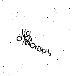 CN1CCN(c2ccc(Nc3ncc(Cl)c(Nc4[c]cccc4)n3)cc2)CC1